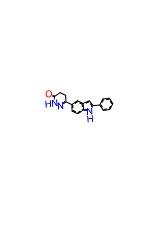 O=C1CCC(c2ccc3[nH]c(-c4ccccc4)cc3c2)=NN1